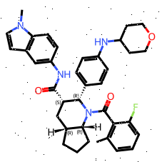 Cc1cccc(F)c1C(=O)N1[C@@H]2CCC[C@@H]2C[C@H](C(=O)Nc2ccc3c(ccn3C)c2)[C@@H]1c1ccc(NC2CCOCC2)cc1